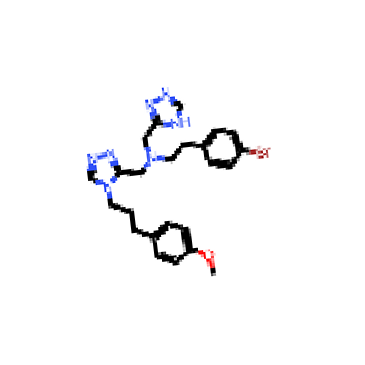 COc1ccc(CCCn2cnnc2CN(CCc2ccc(Br)cc2)Cc2nnc[nH]2)cc1